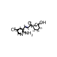 Nc1ncc(Cl)cc1/C=C/C(=O)N1CCCC(O)C1